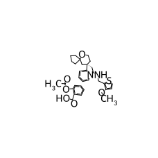 CC(=O)Oc1ccccc1C(=O)O.COc1ccsc1CNCC[C@@]1(c2ccccn2)CCOC2(CCCC2)C1